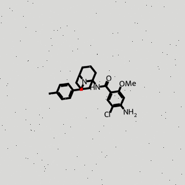 COc1cc(N)c(Cl)cc1C(=O)NC12CCCC(CCC1)N2Cc1ccc(C)cc1